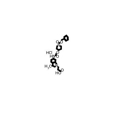 CC1CN(CCC(=O)O)Cc2cc(NC(=O)COC3CCN(C(=O)OCc4ccccc4)CC3)ccc21.Cl